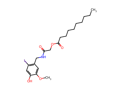 CCCCCCCCCC(=O)OCC(=O)NCc1cc(OC)c(O)cc1I